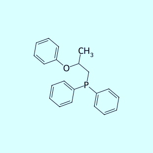 CC(CP(c1ccccc1)c1ccccc1)Oc1ccccc1